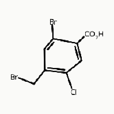 O=C(O)c1cc(Cl)c(CBr)cc1Br